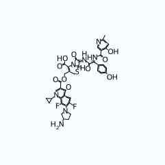 Cc1cc(O)c(C(=O)N[C@@H](C(=O)N[C@@H]2C(=O)N3C(C(=O)O)=C(COC(=O)c4cn(C5CC5)c5c(F)c(N6CCC(N)C6)c(F)cc5c4=O)CS[C@H]23)c2ccc(O)cc2)cn1